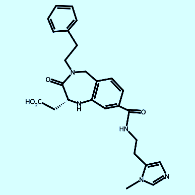 Cn1cncc1CCNC(=O)c1ccc2c(c1)N[C@H](CC(=O)O)C(=O)N(CCc1ccccc1)C2